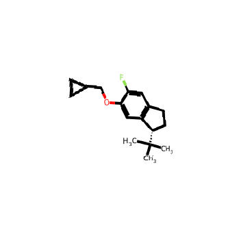 CC(C)(C)[C@H]1CCc2cc(F)c(OCC3CC3)cc21